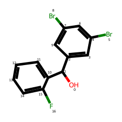 OC(c1cc(Br)cc(Br)c1)c1ccccc1F